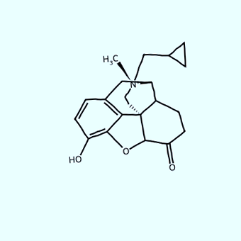 C[N@+]1(CC2CC2)CC[C@@]23c4c5ccc(O)c4OC2C(=O)CCC3C1C5